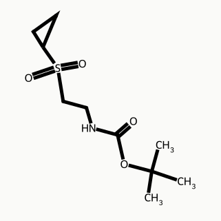 CC(C)(C)OC(=O)NCCS(=O)(=O)C1CC1